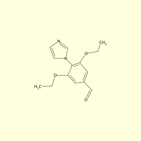 CCOc1cc(C=O)cc(OCC)c1-n1ccnc1